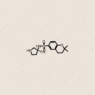 CC1(C)CCc2cc(S(=O)(=O)N[C@]3(C#N)CCNC3)ccc2O1